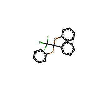 FC(F)(F)C(Sc1ccccc1)(Sc1ccccc1)c1ccccc1